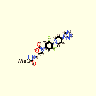 COC(=O)NC[C@H]1CN(c2cc(F)c(N3CCC(n4cnnn4)CC3)c(F)c2)C(=O)O1